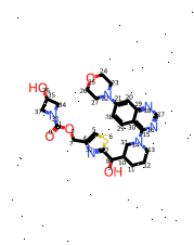 O=C(OCc1csc(C(O)C2CCCN(c3ncnc4cc(N5CCOCC5)ccc34)C2)n1)N1CC(O)C1